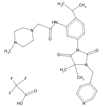 CC(C)c1ccc(N2C(=O)N(Cc3ccncc3)C(C)(C)C2=O)cc1NC(=O)CN1CCN(C)CC1.O=C(O)C(F)(F)F